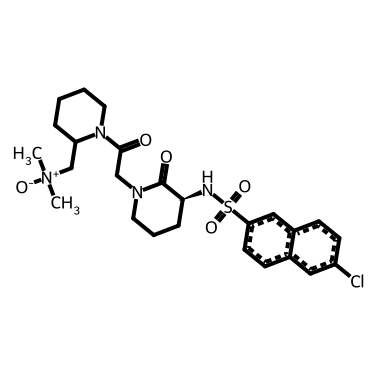 C[N+](C)([O-])CC1CCCCN1C(=O)CN1CCC[C@H](NS(=O)(=O)c2ccc3cc(Cl)ccc3c2)C1=O